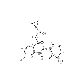 O=C(N[S+]([O-])C1CC1)c1ccc(F)cc1-c1ccc2c(c1)OCC[C@@H]2O